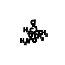 CC(CCCl)C(C)(C)OC(N)=O